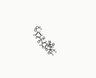 COc1ccc(S(=O)(=O)c2ccc3c(c2)[C@@H]2O[C@@H]2C(C)(C)O3)cc1